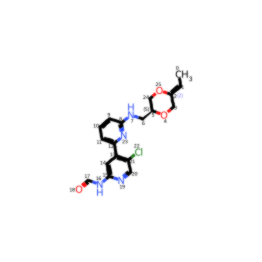 C/C=C1/CO[C@@H](CNc2cccc(-c3cc(NC=O)ncc3Cl)n2)CO1